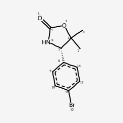 CC1(C)OC(=O)N[C@H]1c1ccc(Br)cc1